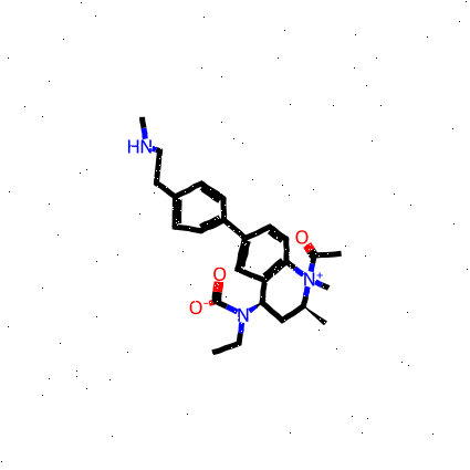 CCN(C(=O)[O-])[C@@H]1C[C@H](C)[N+](C)(C(C)=O)c2ccc(-c3ccc(CCNC)cc3)cc21